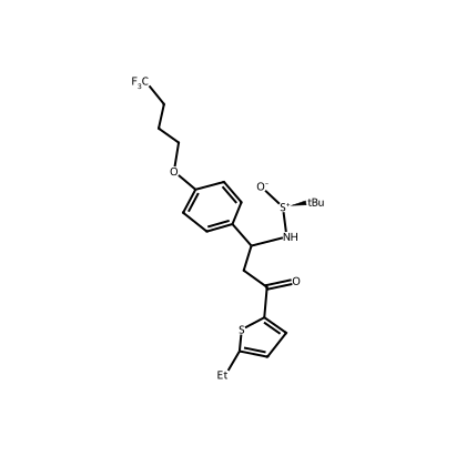 CCc1ccc(C(=O)CC(N[S@@+]([O-])C(C)(C)C)c2ccc(OCCCC(F)(F)F)cc2)s1